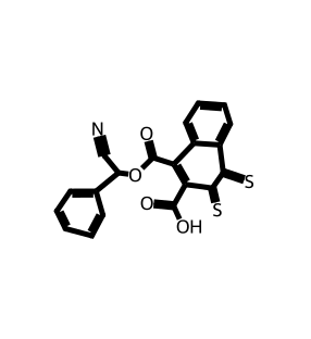 N#CC(OC(=O)C1=C(C(=O)O)C(=S)C(=S)c2ccccc21)c1ccccc1